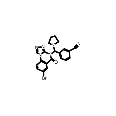 N#Cc1cccc(C(N2CCCC2)n2c(=O)c3cc(Br)ccc3n3cnnc23)c1